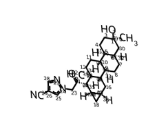 C[C@@]1(O)CC[C@H]2[C@H](CC[C@@H]3[C@@H]2CC[C@@]2(C)[C@H]3C[C@@H]3C[C@@H]3[C@@H]2C(=O)Cn2cc(C#N)cn2)C1